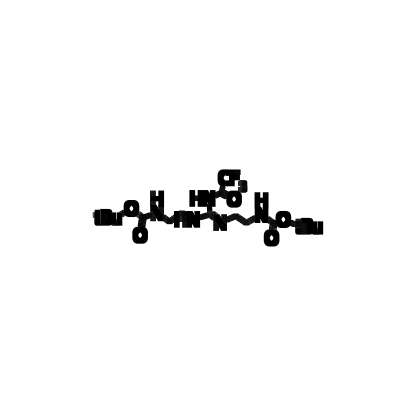 CC(C)(C)OC(=O)NCC/N=C(/NCCNC(=O)OC(C)(C)C)NC(=O)C(F)(F)F